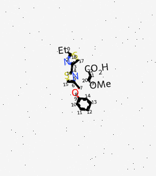 CCc1nc(-c2nc(COc3ccccc3)cs2)cs1.COC=CC(=O)O